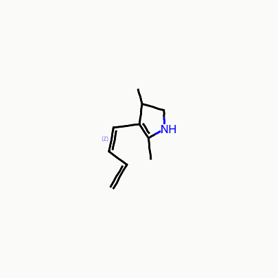 C=C/C=C\C1=C(C)NCC1C